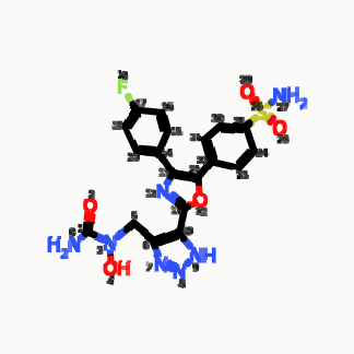 NC(=O)N(O)Cc1nn[nH]c1-c1nc(-c2ccc(F)cc2)c(-c2ccc(S(N)(=O)=O)cc2)o1